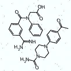 CC(=O)c1ccc(N2CCN(C(N)=O)CC2)cc1.N=C(N)c1cccc(C(=O)N(CC(=O)O)c2ccccc2)c1